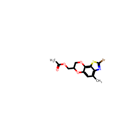 CC(=O)OCC1COc2c(cc(C)c3nc(Br)sc23)O1